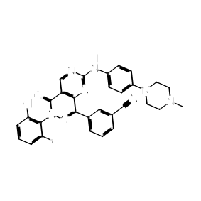 CN1CCN(c2ccc(Nc3ncc4c(=O)n(-c5c(Cl)cccc5Cl)nc(-c5cccc(C#N)c5)c4n3)cc2)CC1